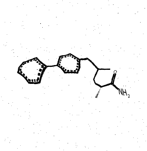 CC(Cc1ccc(-c2ccccc2)cc1)C[C@@H](C)C(N)=O